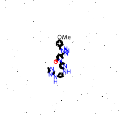 COc1ccc(Cn2nnnc2-c2ccc(=O)n(-c3ccc(N[C@H]4CC[C@H](Nc5cnc(C)cn5)C4)nc3)c2)cc1